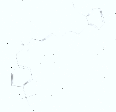 COc1ccccc1CSSC=CCS(=O)(=O)Cc1ccc(C(F)(F)F)cc1